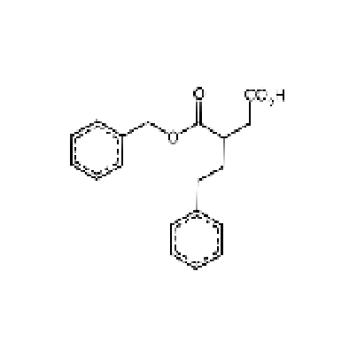 O=C(O)CC(CCc1ccccc1)C(=O)OCc1ccccc1